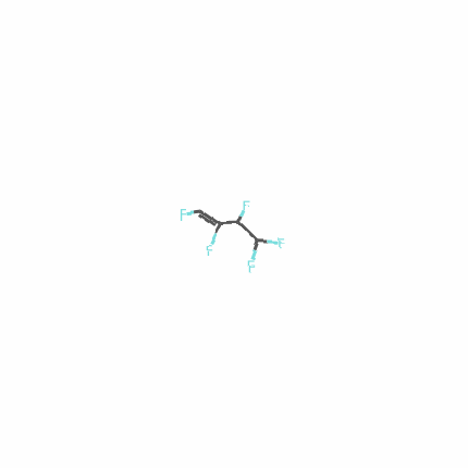 F/C=C(\F)C(F)C(F)F